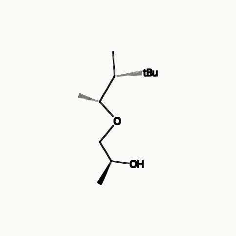 C[C@H](O)CO[C@H](C)[C@H](C)C(C)(C)C